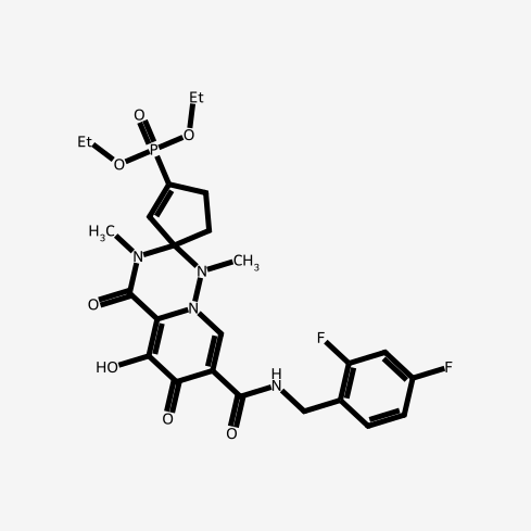 CCOP(=O)(OCC)C1=CC2(CC1)N(C)C(=O)c1c(O)c(=O)c(C(=O)NCc3ccc(F)cc3F)cn1N2C